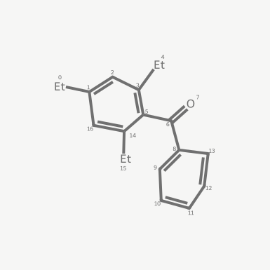 CCc1cc(CC)c(C(=O)c2ccccc2)c(CC)c1